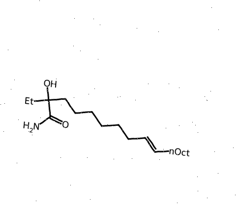 CCCCCCCCC=CCCCCCCC(O)(CC)C(N)=O